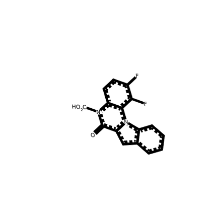 O=C(O)n1c(=O)c2cc3ccccc3n2c2c(F)c(F)ccc21